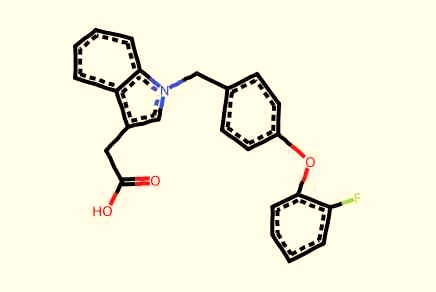 O=C(O)Cc1cn(Cc2ccc(Oc3ccccc3F)cc2)c2ccccc12